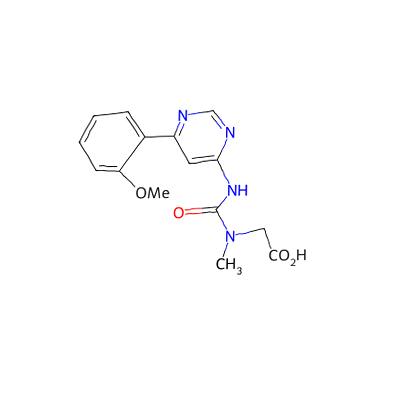 COc1ccccc1-c1cc(NC(=O)N(C)CC(=O)O)ncn1